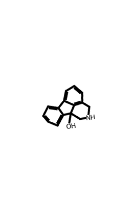 OC12CNCc3cccc(c31)-c1ccccc12